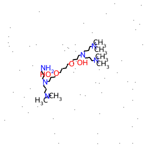 CN(C)CCCN(CCCN)CC(O)COCCCCOCC(O)CN(CCCN(C)C)CCCN(C)C